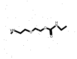 CCNC(=O)OCCOCCNC